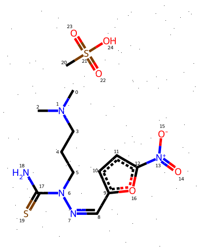 CN(C)CCCN(/N=C\c1ccc([N+](=O)[O-])o1)C(N)=S.CS(=O)(=O)O